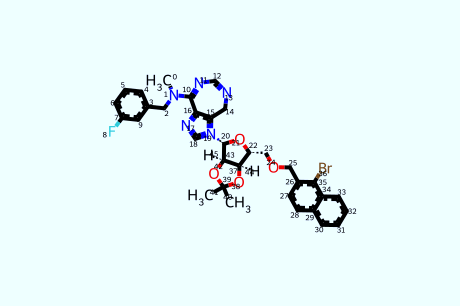 CN(Cc1cccc(F)c1)C1=NC=NCc2c1ncn2[C@@H]1O[C@H](COCc2ccc3ccccc3c2Br)[C@H]2OC(C)(C)O[C@H]21